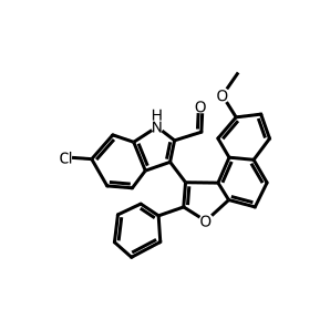 COc1ccc2ccc3oc(-c4ccccc4)c(-c4c(C=O)[nH]c5cc(Cl)ccc45)c3c2c1